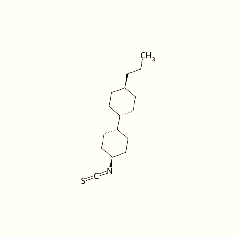 CCC[C@H]1CC[C@H]([C@H]2CC[C@H](N=C=S)CC2)CC1